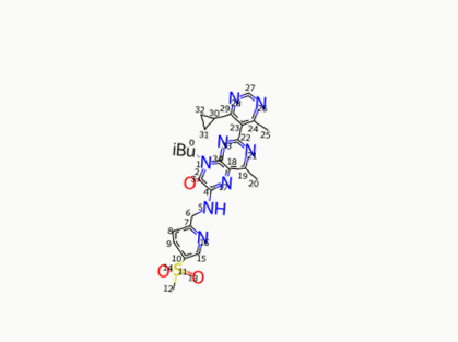 CC[C@@H](C)n1c(=O)c(NCc2ccc(S(C)(=O)=O)cn2)nc2c(C)nc(-c3c(C)ncnc3C3CC3)nc21